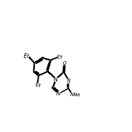 CCc1cc(CC)c(-n2cnc(NC)nc2=O)c(CC)c1